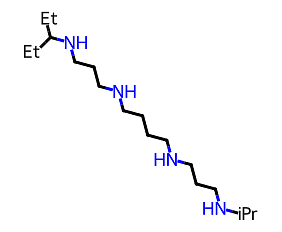 CCC(CC)NCCCNCCCCNCCCNC(C)C